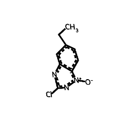 CCc1ccc2c(c1)nc(Cl)n[n+]2[O-]